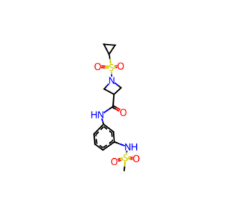 CS(=O)(=O)Nc1cccc(NC(=O)C2CN(S(=O)(=O)C3CC3)C2)c1